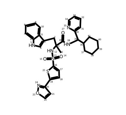 CC(Cc1c[nH]c2ccccc12)(NS(=O)(=O)c1ccc(-c2ccon2)s1)C(=O)NC(c1ccccn1)C1CCCCC1